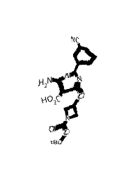 CC(C)(C)OC(=O)N1CC(Oc2nc(-c3cccc(C#N)c3)nc(N)c2C(=O)O)C1